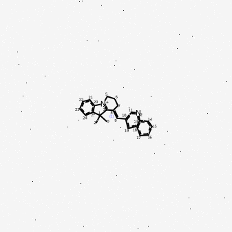 CC1(C)C2=[N+](CCC/C2=C\c2cnc3ccccc3c2)c2ccccc21